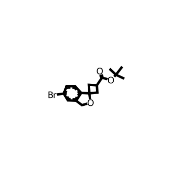 CC(C)(C)OC(=O)C1CC2(C1)OCc1cc(Br)ccc12